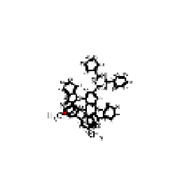 Cc1ccc2c(c1)c1cc(C)ccc1n2-c1c(-n2c3ccccc3c3ncccc32)cc(-c2nc(-c3ccccc3)nc(-c3ccccc3)n2)cc1-n1c2ccccc2c2ncccc21